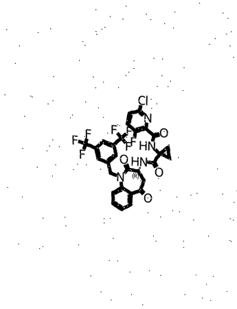 O=C1C[C@@H](NC(=O)C2(NC(=O)c3nc(Cl)ccc3F)CC2)C(=O)N(Cc2cc(C(F)(F)F)cc(C(F)(F)F)c2)c2ccccc21